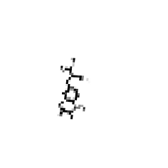 COC(=O)C(N)Cc1ccc([S+]([O-])C(C)C(C)=O)cc1